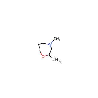 CC1CN(C)CCCO1